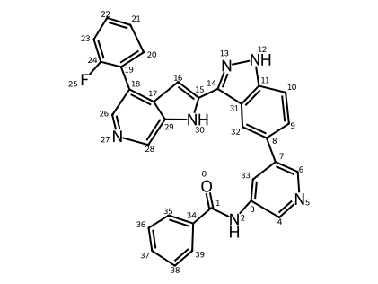 O=C(Nc1cncc(-c2ccc3[nH]nc(-c4cc5c(-c6ccccc6F)cncc5[nH]4)c3c2)c1)c1ccccc1